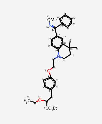 CCOC(=O)C(Cc1ccc(OCCN2CCC(C)(C)c3cc(C(=NOC)c4ccccc4)ccc32)cc1)OCC(F)(F)F